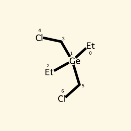 C[CH2][Ge]([CH2]C)([CH2]Cl)[CH2]Cl